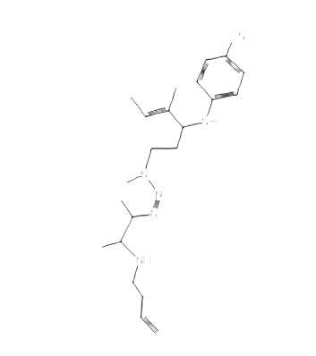 C=CCCNC(C)C(C)/N=N\N(C)CCC(Nc1ccc(C#N)cc1)/C(C)=C/C